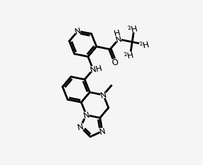 [2H]C([2H])([2H])NC(=O)c1cnccc1Nc1cccc2c1N(C)Cc1ncnn1-2